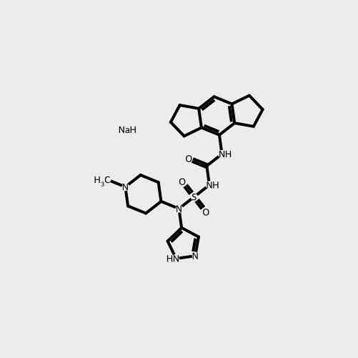 CN1CCC(N(c2cn[nH]c2)S(=O)(=O)NC(=O)Nc2c3c(cc4c2CCC4)CCC3)CC1.[NaH]